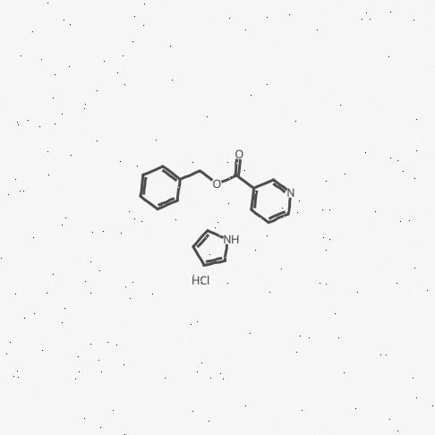 Cl.O=C(OCc1ccccc1)c1cccnc1.c1cc[nH]c1